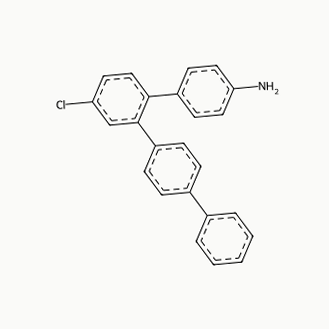 Nc1ccc(-c2ccc(Cl)cc2-c2ccc(-c3ccccc3)cc2)cc1